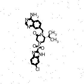 CC(C)[C@@H]1CN(S(=O)(=O)c2nc3ccc(Cl)cc3[nH]2)CC(=O)N1Cc1ccc2c(N)ncnc2c1